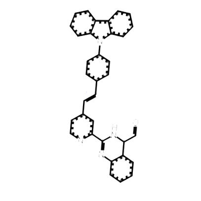 O=CC1NC(c2cc(/C=C/c3ccc(-n4c5ccccc5c5ccccc54)cc3)ccn2)=Nc2ccccc21